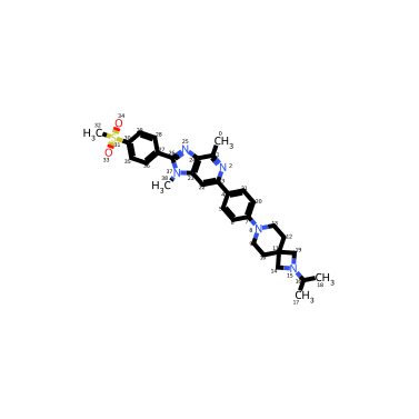 Cc1nc(-c2ccc(N3CCC4(CC3)CN(C(C)C)C4)cc2)cc2c1nc(-c1ccc(S(C)(=O)=O)cc1)n2C